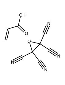 C=CC(=O)O.N#CC1(C#N)OC1(C#N)C#N